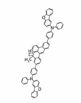 CC1(C)c2cc(-c3ccc(N(c4ccccc4)c4ccc5oc6ccccc6c5c4)cc3)ccc2-c2cc3ccc(-c4ccc(N(c5ccccc5)c5ccc6oc7ccccc7c6c5)cc4)cc3c3cccc1c23